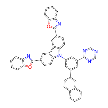 c1ccc2cc(-c3cc(-c4ncncn4)cc(-n4c5ccc(-c6nc7ccccc7o6)cc5c5cc(-c6nc7ccccc7o6)ccc54)c3)ccc2c1